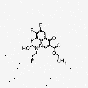 CCOC(=O)c1cn(N(CO)CCF)c2c(F)c(F)c(F)cc2c1=O